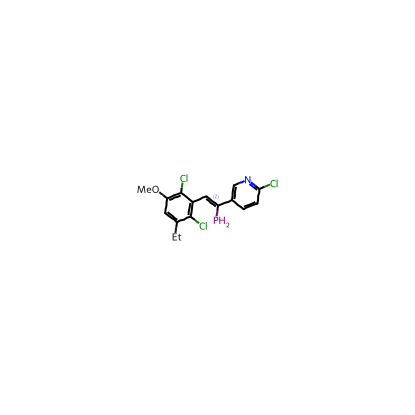 CCc1cc(OC)c(Cl)c(/C=C(\P)c2ccc(Cl)nc2)c1Cl